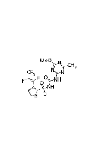 COc1nc(C)nc(NC(=O)NS(=O)(=O)c2sccc2C(F)=C(F)C(F)(F)F)n1